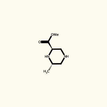 COC(=O)[C@H]1CNC[C@H](C)N1